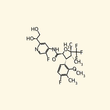 COc1c([C@@H]2[C@@H](C(=O)Nc3cc([C@@H](O)CO)ncc3F)O[C@](C)(C(F)(F)F)[C@@H]2C)ccc(F)c1C